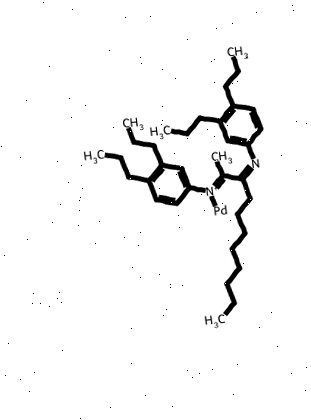 CCCCCCCCC(=Nc1ccc(CCC)c(CCC)c1)C(C)=[N+]([Pd])c1ccc(CCC)c(CCC)c1